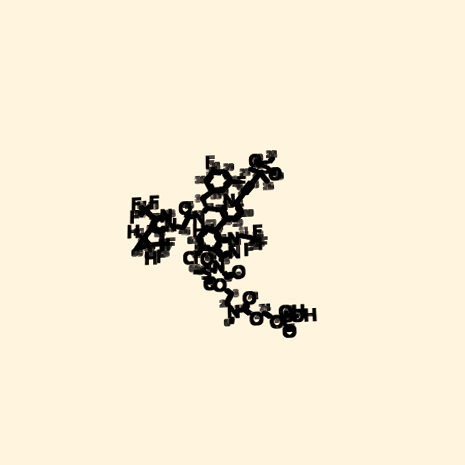 CN(CCOC(=O)N(c1nn(CC(F)(F)F)c2c(-c3ccc(C#CC(C)(C)S(C)(=O)=O)nc3[C@H](Cc3cc(F)cc(F)c3)NC(=O)Cn3nc(C(F)(F)F)c4c3C(F)(F)[C@@H]3C[C@H]43)ccc(Cl)c12)S(C)(=O)=O)C(=O)OCOP(=O)(O)O